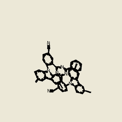 Cc1ccc2c(c1)c1cc(C)ccc1n2-c1ccc(C#N)cc1-c1nc(-c2ccccc2)nc(-c2cc(C#N)ccc2-n2c3ccc(C)cc3c3cc(C)ccc32)n1